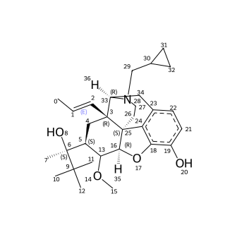 C/C=C/[C@]12C[C@H]([C@](C)(O)C(C)(C)C)C(OC)[C@@H]3Oc4c(O)ccc5c4[C@@]31CCN(CC1CC1)[C@@H]2C5